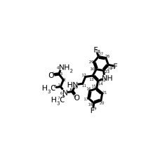 CC(CC(N)=O)N(C)C(=O)NCCc1c(-c2ccc(F)cc2)[nH]c2c(F)cc(F)cc12